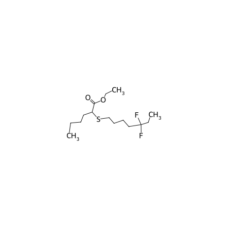 CCCCC(SCCCCC(F)(F)CC)C(=O)OCC